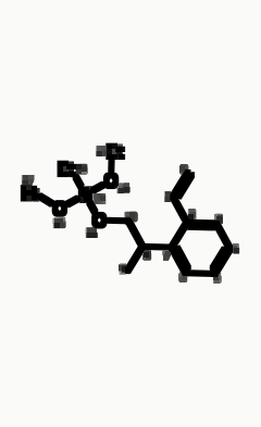 C=Cc1ccccc1C(C)CO[Si](CC)(OCC)OCC